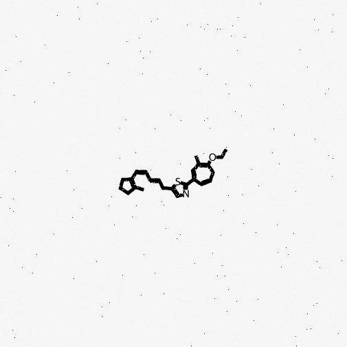 CCOC1=C(C)C=C(c2ncc(C/C=C/C=C\C3=C(C)CCC3)s2)C=CC1